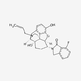 C=CCN1CC[C@]23c4c5ccc(O)c4O[C@H]2[C@H](N2Cc4cccc(F)c4C2=O)CC[C@@]3(O)[C@H]1C5